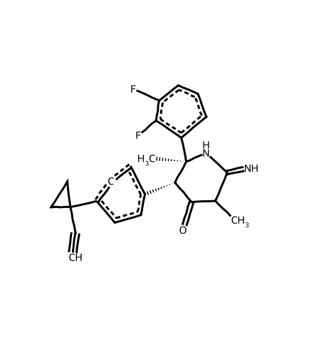 C#CC1(c2ccc([C@H]3C(=O)C(C)C(=N)N[C@]3(C)c3cccc(F)c3F)cc2)CC1